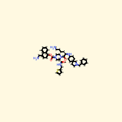 NCCCC[C@@H](NC1CCC2(CC1)CCN(Cc1ccccc1)C2)C(=O)N1CCN(C(=O)Oc2ccc(CN)c3ccccc23)C[C@H]1C(=O)NCc1cccs1